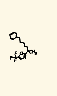 CC(CCCCCc1ccccc1)c1ncc(C(F)(F)F)o1